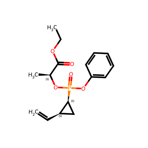 C=C[C@@H]1C[C@@H]1P(=O)(Oc1ccccc1)O[C@@H](C)C(=O)OCC